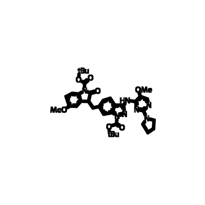 COc1ccc2c(c1)C(Cc1ccc3c(Nc4nc(N5CCCC5)ncc4OC)nn(C(=O)OC(C)(C)C)c3c1)C(=O)N2C(=O)OC(C)(C)C